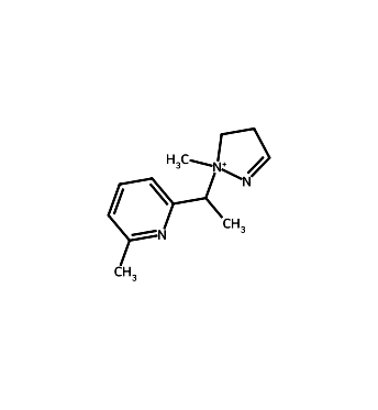 Cc1cccc(C(C)[N+]2(C)CCC=N2)n1